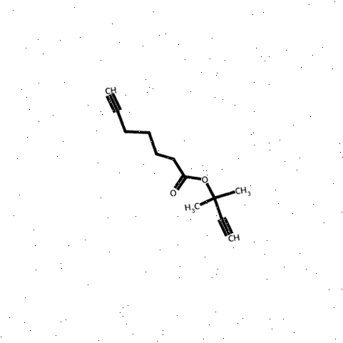 C#CCCCCC(=O)OC(C)(C)C#C